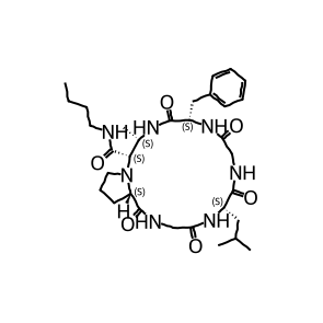 CCCCNC(=O)[C@@H]1[C@H](C)NC(=O)[C@H](Cc2ccccc2)NC(=O)CNC(=O)[C@H](CC(C)C)NC(=O)CNC(=O)[C@@H]2CCCN12